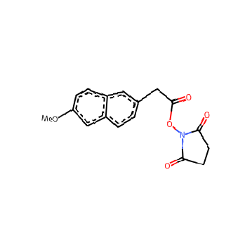 COc1ccc2cc(CC(=O)ON3C(=O)CCC3=O)ccc2c1